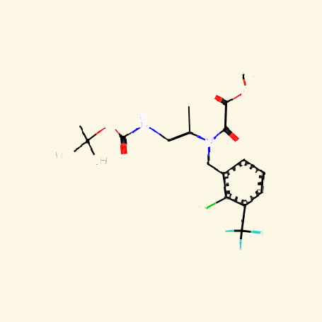 COC(=O)C(=O)N(Cc1cccc(C(F)(F)F)c1Cl)C(C)CNC(=O)OC(C)(C)C